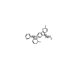 CC1C=Cc2c(c3ccc(C4=C(Nc5ccccc5)C=CCC4C)cc3n2N)C1